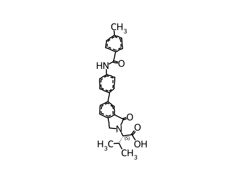 Cc1ccc(C(=O)Nc2ccc(-c3ccc4c(c3)C(=O)N([C@H](C(=O)O)C(C)C)C4)cc2)cc1